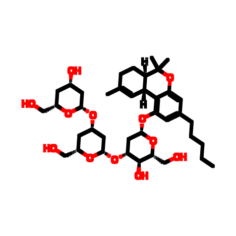 CCCCCc1cc(O[C@H]2C[C@@H](O[C@H]3C[C@@H](O[C@H]4C[C@@H](O)C[C@@H](CO)O4)C[C@@H](CO)O3)[C@H](O)[C@@H](CO)O2)c2c(c1)OC(C)(C)[C@@H]1CCC(C)=C[C@@H]21